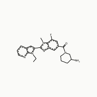 CCn1c(-c2nc3cc(C(=O)N4CCCC(N)C4)cc(F)c3n2C)cc2cccnc21